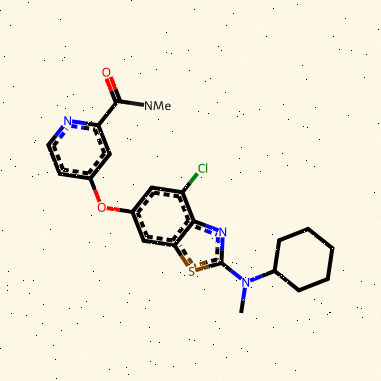 CNC(=O)c1cc(Oc2cc(Cl)c3nc(N(C)C4CCCCC4)sc3c2)ccn1